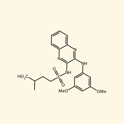 COc1cc(Nc2nc3ccccc3nc2NS(=O)(=O)CCC(C)C(=O)O)cc(OC)c1